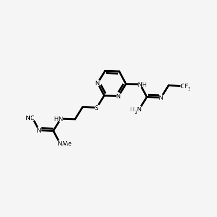 CN/C(=N/C#N)NCCSc1nccc(N/C(N)=N\CC(F)(F)F)n1